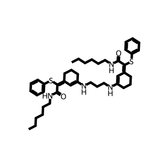 CCCCCCNC(=O)/C(Sc1ccccc1)=C1\C=C(NCCCNC2=C/C(=C(/Sc3ccccc3)C(=O)NCCCCCC)CCC2)CCC1